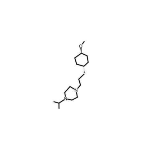 CO[C@H]1CC[C@H](CCCN2CCN(C(C)C)CC2)CC1